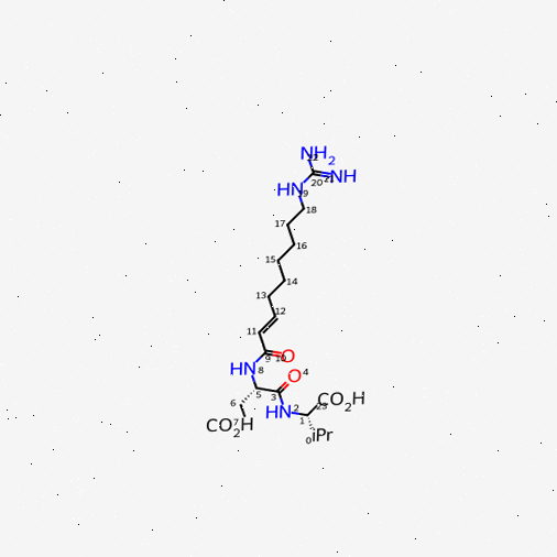 CC(C)[C@H](NC(=O)[C@H](CC(=O)O)NC(=O)/C=C/CCCCCCNC(=N)N)C(=O)O